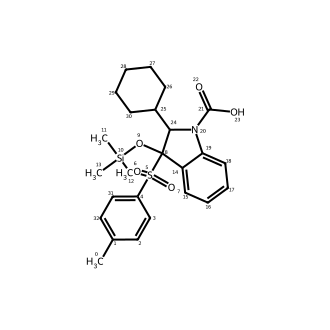 Cc1ccc(S(=O)(=O)C2(O[Si](C)(C)C)c3ccccc3N(C(=O)O)C2C2CCCCC2)cc1